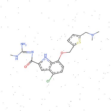 CNC(N)=NC(=O)c1cc2c(Cl)ccc(OCc3ccc(CN(C)C)s3)c2[nH]1